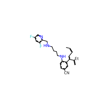 C=C(CC)/C(=C\C=C/C)c1cc(C#N)ccc1NCCCCNCc1ncc(F)cc1F